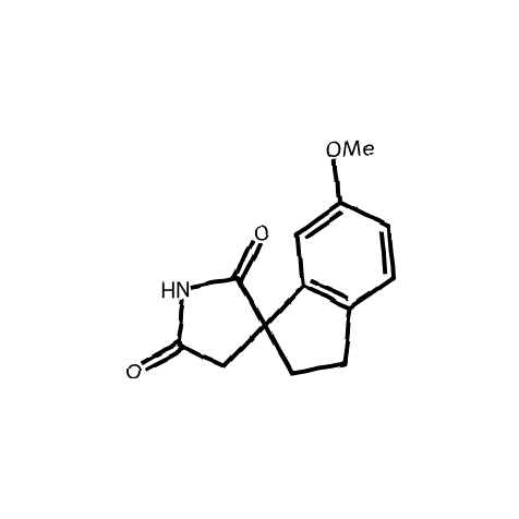 COc1ccc2c(c1)C1(CC2)CC(=O)NC1=O